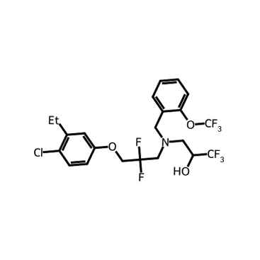 CCc1cc(OCC(F)(F)CN(Cc2ccccc2OC(F)(F)F)CC(O)C(F)(F)F)ccc1Cl